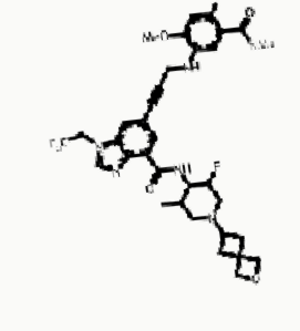 CNC(=O)c1cc(NCC#Cc2cc(C(=O)NC3C(C)CN(C4CC5(COC5)C4)CC3F)c3ncn(CC(F)(F)F)c3c2)c(OC)cc1F